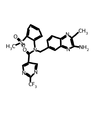 Cc1nc2ccc(CN(C(=O)c3cnc(C(F)(F)F)nc3)c3ccccc3S(C)(=O)=O)cc2nc1N